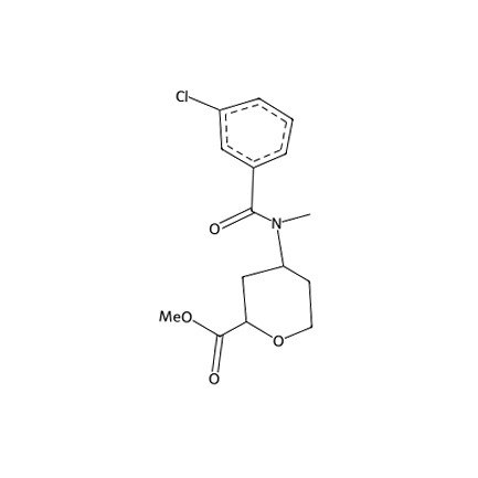 COC(=O)C1CC(N(C)C(=O)c2cccc(Cl)c2)CCO1